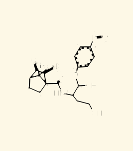 CCCC(NC(=O)C12CCC(C(=O)C1=O)C2(C)C)C(C)Oc1ccc(P=O)cc1